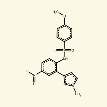 COc1ccc(S(=O)(=O)Nc2ccc([N+](=O)[O-])cc2-c2ccn(C)n2)cc1